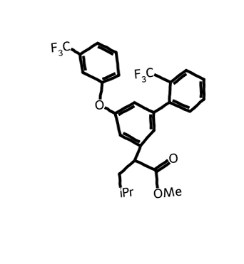 COC(=O)C(CC(C)C)c1cc(Oc2cccc(C(F)(F)F)c2)cc(-c2ccccc2C(F)(F)F)c1